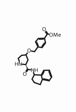 COC(=O)c1ccc(COC2CCN[C@H](C(=O)NC3CCCc4ccccc43)C2)cc1